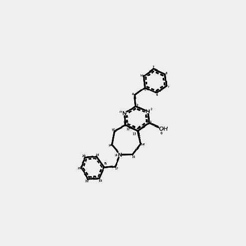 Oc1nc(Cc2ccccc2)nc2c1CCN(Cc1ccccc1)CC2